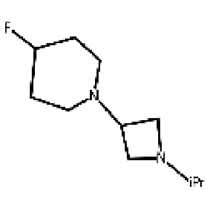 CC(C)N1CC(N2CCC(F)CC2)C1